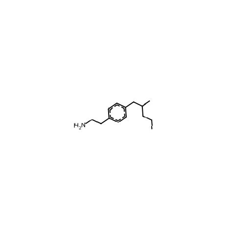 CCCC(C)Cc1ccc(CCN)cc1